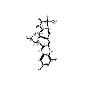 CC(Nc1ncc2cc(Oc3ccc(F)cc3F)c(=O)n(C[C@@H](C)O)c2n1)C(C)(C)O